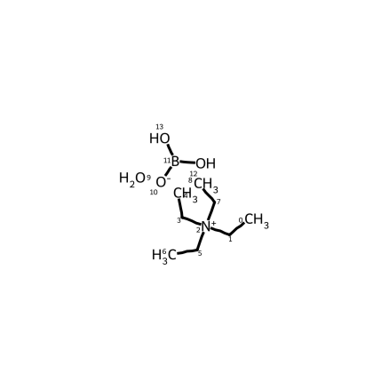 CC[N+](CC)(CC)CC.O.[O-]B(O)O